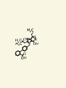 CCCc1nnc(O)c2c1nc(CC(C)(C)C)n2Cc1ccc(-c2ccccc2C(=O)O)cc1